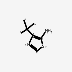 CC(C)(C)c1ncsc1N